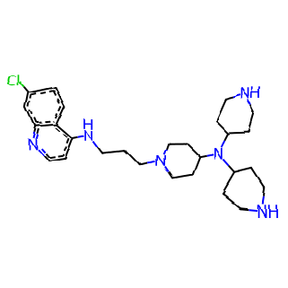 Clc1ccc2c(NCCCN3CCC(N(C4CCNCC4)C4CCNCC4)CC3)ccnc2c1